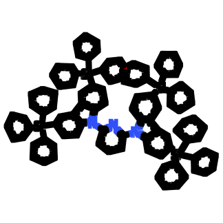 c1ccc([Si](c2ccccc2)(c2ccccc2)c2ccc3c(c2)c2cc([Si](c4ccccc4)(c4ccccc4)c4ccccc4)ccc2n3-c2cccc(-n3c4ccc([Si](c5ccccc5)(c5ccccc5)c5ccccc5)cc4c4cc([Si](c5ccccc5)(c5ccccc5)c5ccccc5)ccc43)n2)cc1